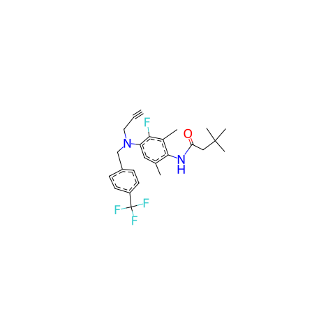 C#CCN(Cc1ccc(C(F)(F)F)cc1)c1cc(C)c(NC(=O)CC(C)(C)C)c(C)c1F